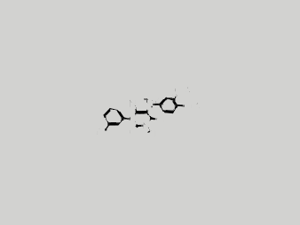 CC(=O)Oc1ccc(N(C(=O)O)c2c(N)n(-c3cccc(Cl)c3)c(=O)n(C)c2=O)cc1OC(C)=O